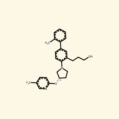 Cc1ccccc1-c1ccc(N2CC[C@H](Oc3ccc(C(F)(F)F)cn3)C2)c(CCCO)c1